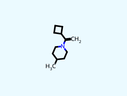 C=C(C1CCC1)N1CCC(C)CC1